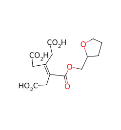 O=C(O)CC(CC(=O)O)=C(CC(=O)O)C(=O)OCC1CCCO1